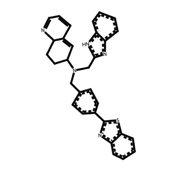 C1=CC2=CC(N(Cc3ccc(-c4nc5ccccc5s4)cc3)Cc3nc4ccccc4[nH]3)CCC2N=C1